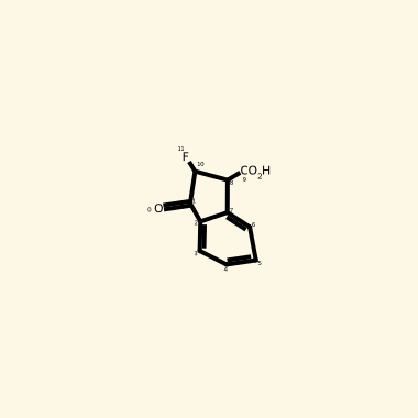 O=C1c2ccccc2C(C(=O)O)C1F